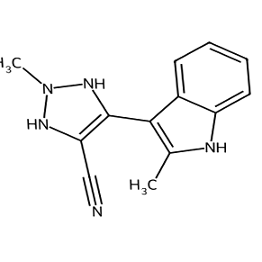 Cc1[nH]c2ccccc2c1C1=C(C#N)NN(C)N1